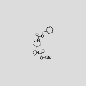 CC(C)(C)OC(=O)N1CC[C@@H]1C1CCN(C(=O)OCc2ccccc2)CC1